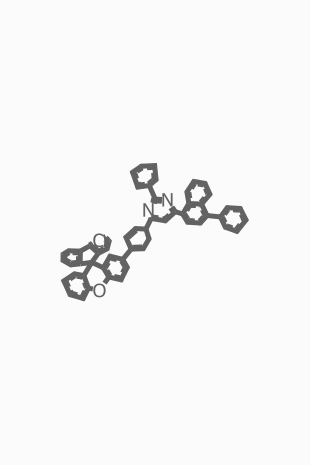 C1=CC(c2cc(-c3ccc(-c4ccccc4)c4ccccc34)nc(-c3ccccc3)n2)CC=C1c1ccc2c(c1)C1(c3ccccc3O2)c2ccccc2-c2ccccc21